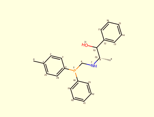 Cc1ccc(P(CN[C@@H](C)C(O)c2ccccc2)c2ccccc2)cc1